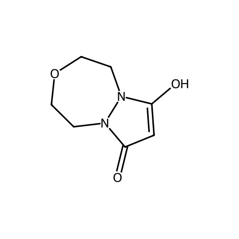 O=c1cc(O)n2n1CCOCC2